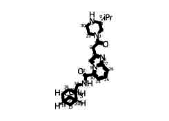 CC(C)[C@@H]1CN(C(=O)Cc2cn3c(C(=O)NC[C@@H]4CC[C@@H]5C[C@@H]4C5(C)C)cccc3n2)CCN1